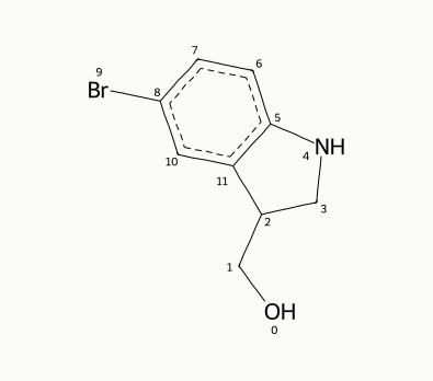 OCC1CNc2ccc(Br)cc21